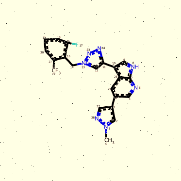 Cn1cc(-c2cnc3[nH]cc(-c4cn(Cc5c(F)cccc5C(F)(F)F)nn4)c3c2)cn1